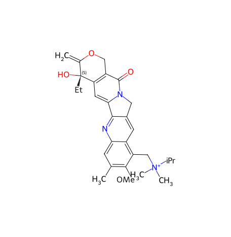 C=C1OCc2c(cc3n(c2=O)Cc2cc4c(C[N+](C)(C)C(C)C)c(OC)c(C)cc4nc2-3)[C@@]1(O)CC